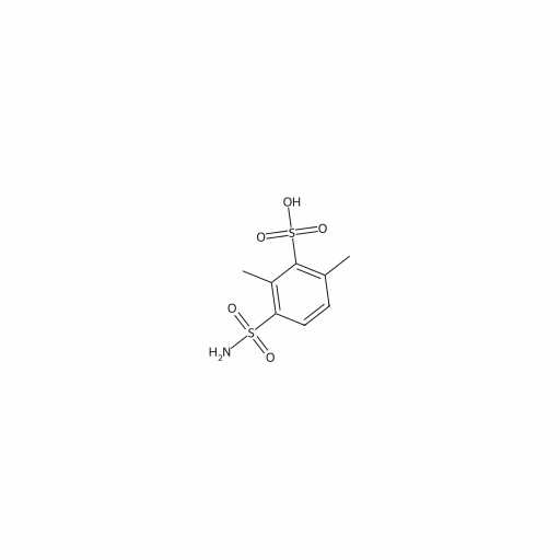 Cc1ccc(S(N)(=O)=O)c(C)c1S(=O)(=O)O